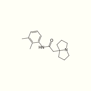 Cc1cccc(NC(=O)CC23CCCN2CCC3)c1C